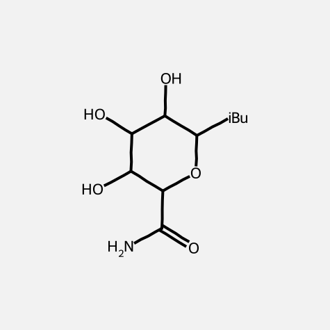 CCC(C)C1OC(C(N)=O)C(O)C(O)C1O